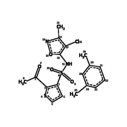 CC(=O)c1sccc1S(=O)(=O)Nc1onc(C)c1Cl.Cc1cccc(C)c1